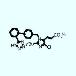 CCCCc1nc(Cl)c(C=CC(=O)O)n1Cc1ccc(-c2ccccc2-c2nnn[nH]2)cc1